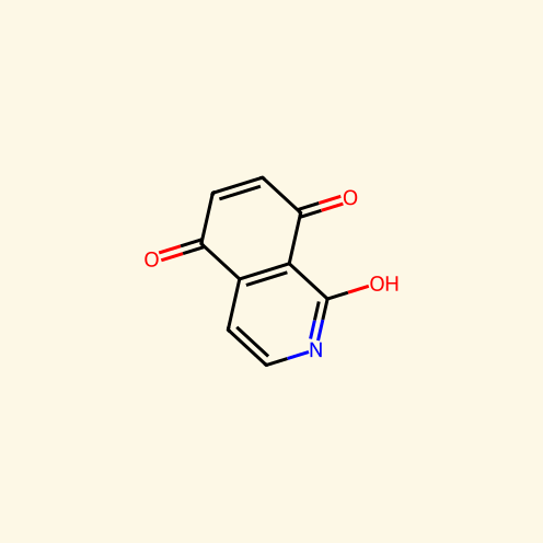 O=C1C=CC(=O)c2c1ccnc2O